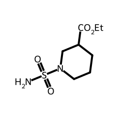 CCOC(=O)C1CCCN(S(N)(=O)=O)C1